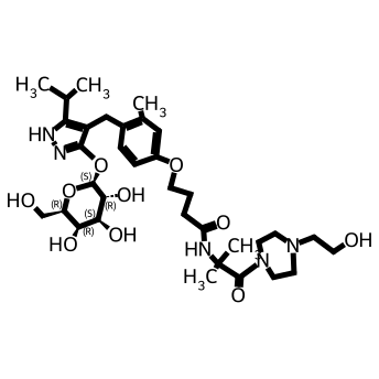 Cc1cc(OCCCC(=O)NC(C)(C)C(=O)N2CCN(CCO)CC2)ccc1Cc1c(O[C@@H]2O[C@H](CO)[C@H](O)[C@H](O)[C@H]2O)n[nH]c1C(C)C